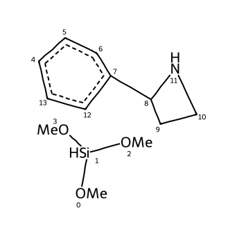 CO[SiH](OC)OC.c1ccc(C2CCN2)cc1